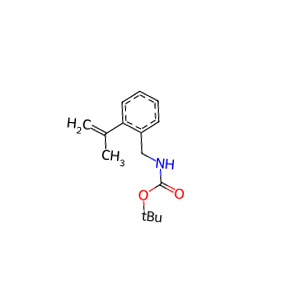 C=C(C)c1ccccc1CNC(=O)OC(C)(C)C